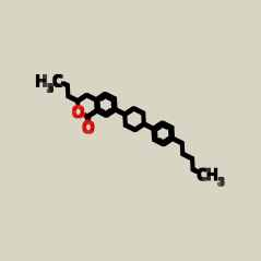 CCCCCc1ccc(C2CCC(c3ccc4c(c3)C(=O)OC(CCC)C4)CC2)cc1